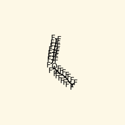 FC(F)C(F)(F)C(F)(F)C(F)(F)C(F)(F)C(F)(F)C(F)(F)C(F)OC(F)C(F)(F)C(F)(F)C(F)(F)C(F)(F)C(F)(F)C(F)(F)C(F)F